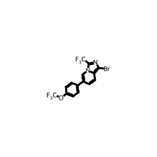 FC(F)(F)Oc1ccc(-c2ccc3c(Br)nc(C(F)(F)F)n3c2)cc1